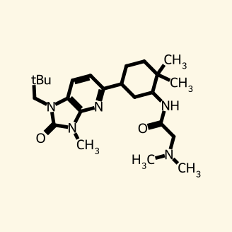 CN(C)CC(=O)NC1CC(c2ccc3c(n2)n(C)c(=O)n3CC(C)(C)C)CCC1(C)C